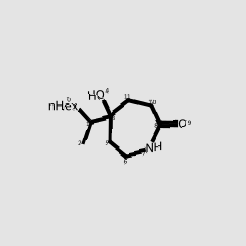 CCCCCCC(C)C1(O)CCNC(=O)CC1